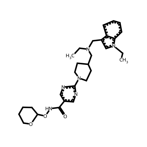 CCN(Cc1cn(CC)c2ccccc12)CC1CCN(c2ncc(C(=O)NOC3CCCCO3)cn2)CC1